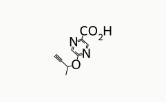 C#CC(C)Oc1cnc(C(=O)O)cn1